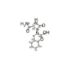 NC(=O)[C@H]1NC(=O)[C@H]1N(Cc1ccccc1)C(=O)O